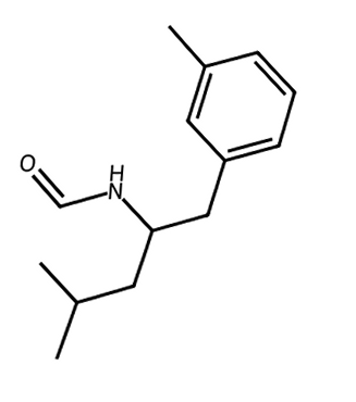 Cc1cccc(CC(CC(C)C)NC=O)c1